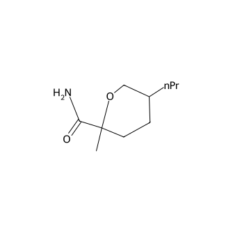 CCCC1CCC(C)(C(N)=O)OC1